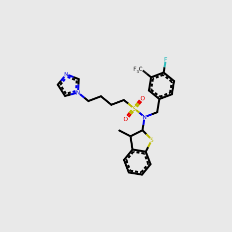 CC1c2ccccc2SC1N(Cc1ccc(F)c(C(F)(F)F)c1)S(=O)(=O)CCCCn1ccnc1